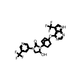 O=C1N(c2cncc(C(F)(F)F)c2)CC(O)N1C12CCC(Oc3ncnc4[nH]cc(C(F)(F)F)c34)(CC1)C2